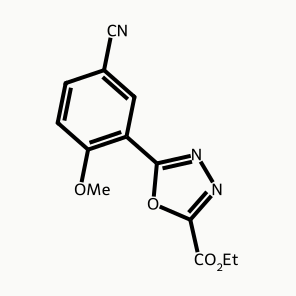 CCOC(=O)c1nnc(-c2cc(C#N)ccc2OC)o1